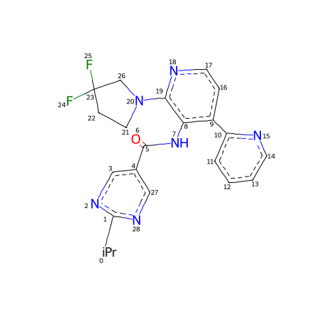 CC(C)c1ncc(C(=O)Nc2c(-c3ccccn3)ccnc2N2CCC(F)(F)C2)cn1